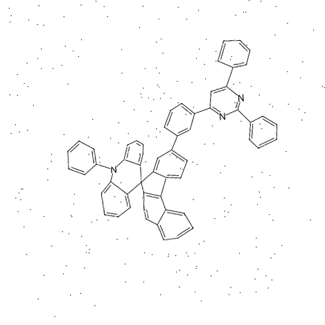 c1ccc(-c2cc(-c3cccc(-c4ccc5c(c4)C4(c6ccccc6N(c6ccccc6)c6ccccc64)c4ccc6ccccc6c4-5)c3)nc(-c3ccccc3)n2)cc1